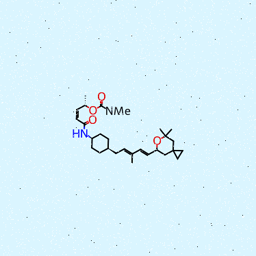 CNC(=O)O[C@@H](C)/C=C\C(=O)N[C@H]1CC[C@@H](C/C=C(C)/C=C/C2CC3(CC3)CC(C)(C)O2)CC1